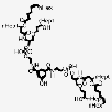 CCCCCC/C=C\CCCC(=O)O[C@H](CCCCCCC)CC(=O)NC(COCC[C@H](O)CCCCCCC)COP(=O)(O)OCCNC(=O)c1cc(O)cc(C(=O)NCCOP(=O)(O)OCC(COCC[C@H](O)CCCCCCC)NC(=O)C[C@@H](CCCCCCC)OC(=O)CCC/C=C\CCCCCC)c1